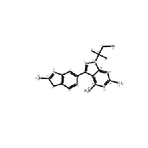 CC(C)CC(C)(C)n1nc(-c2ccc3c(c2)N=C(N)C3)c2c(N)nc(N)nc21